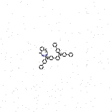 C=C1/C=C\C(N(c2ccc(-c3ccccc3)cc2)c2ccc(-c3cccc(N(c4ccc(-c5ccccc5)cc4)c4ccc(-c5ccccc5)cc4)c3)cc2)=C/CSc2ccccc21